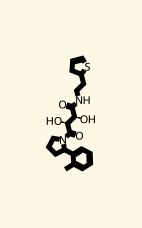 Cc1ccccc1C1CCCN1C(=O)[C@H](O)[C@@H](O)C(=O)NCCC1CC=CS1